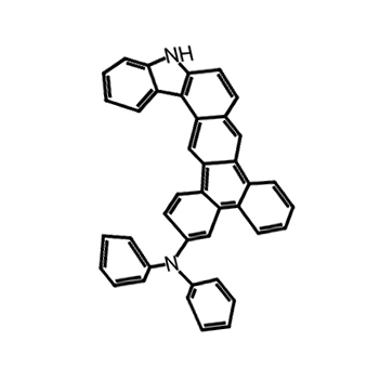 c1ccc(N(c2ccccc2)c2ccc3c(c2)c2ccccc2c2cc4ccc5[nH]c6ccccc6c5c4cc32)cc1